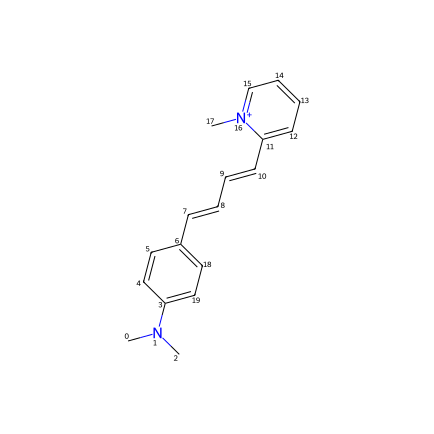 CN(C)c1ccc(C=CC=Cc2cccc[n+]2C)cc1